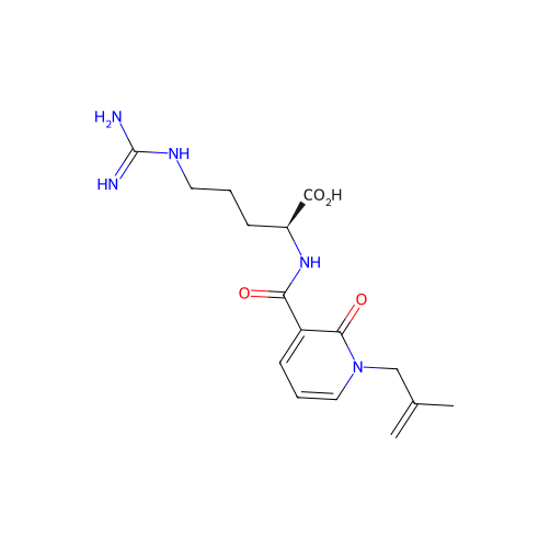 C=C(C)Cn1cccc(C(=O)N[C@@H](CCCNC(=N)N)C(=O)O)c1=O